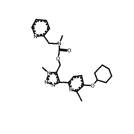 Cc1nc(-c2nnn(C)c2COC(=O)N(C)Cc2ccccn2)ccc1OC1CCCCC1